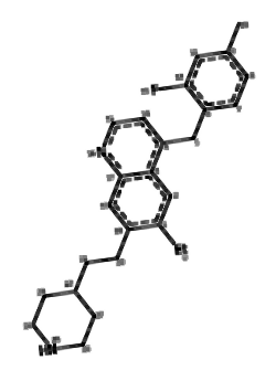 CCc1cc2c(Cc3ccc(C)cc3F)ccnc2cc1CCC1CCNCC1